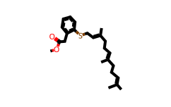 COC(=O)Cc1ccccc1SC/C=C(\C)CC/C=C(\C)CCC=C(C)C